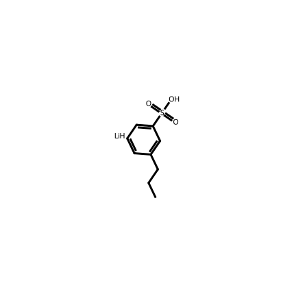 CCCc1cccc(S(=O)(=O)O)c1.[LiH]